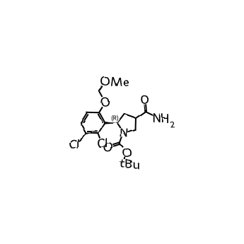 COCOc1ccc(Cl)c(Cl)c1[C@H]1CC(C(N)=O)CN1C(=O)OC(C)(C)C